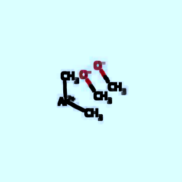 C[O-].C[O-].[CH3][Al+2][CH3]